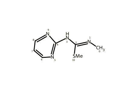 C/N=C(/Nc1ncccn1)SC